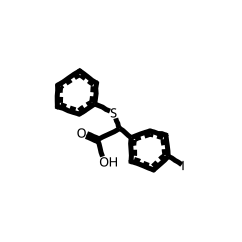 O=C(O)C(Sc1ccccc1)c1ccc(I)cc1